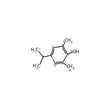 C[C](C)c1cc(C)c(O)c(C)c1